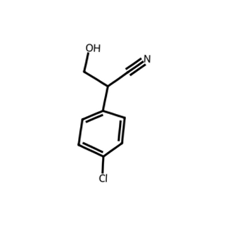 N#CC(CO)c1ccc(Cl)cc1